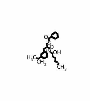 CSCCCC(O)NC(=O)C(CSC(=O)c1ccccc1)Cc1cccc(C(C)C)c1